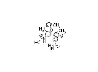 C#CC(=O)Nc1ccc(Oc2c(C)cccc2C)c(-c2cn(C)c(=O)c3cc(C(=O)NCC)sc23)c1